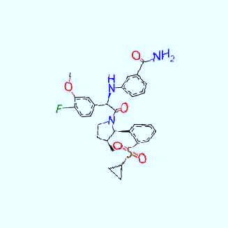 COc1cc([C@@H](Nc2cccc(C(N)=O)c2)C(=O)N2CC[C@H](C)[C@@H]2c2ccccc2S(=O)(=O)C2CC2)ccc1F